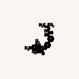 CC[C@H](C)CNC(=O)Nc1cccc(-c2ccc(C[C@@H](NS(=O)(=O)c3c(C)cc(C)cc3C)C(=O)O)cc2)c1